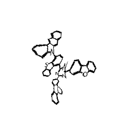 c1ccc2cc3c(cc2c1)c1ccccc1n3-c1ccc(-c2nc(-c3ccc4c(c3)oc3ccccc34)nc(-c3ccc4c(c3)oc3ccccc34)n2)c2c1sc1ccccc12